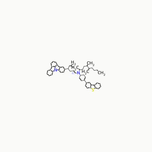 C=CCCC(=C)C(=C)CCC(=C)N(/C=C/CC(C=C)c1ccc2c(c1)c1cccc3c4ccccc4n2c31)C1C=CC(c2ccc3sc4ccccc4c3c2)=CC1